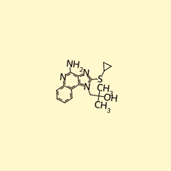 CC(C)(O)Cn1c(SC2CC2)nc2c(N)nc3ccccc3c21